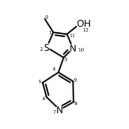 Cc1sc(-c2ccncc2)nc1O